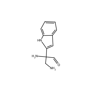 NCC(N)(C=O)c1cc2ccccc2[nH]1